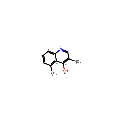 Cc1cccc2ncc([N+](=O)[O-])c(O)c12